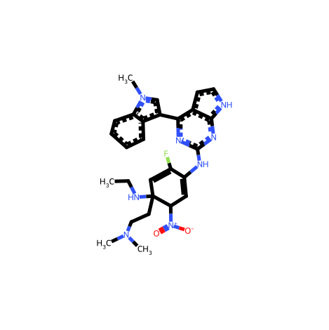 CCNC1(CCN(C)C)C=C(F)C(Nc2nc(-c3cn(C)c4ccccc34)c3cc[nH]c3n2)=CC1[N+](=O)[O-]